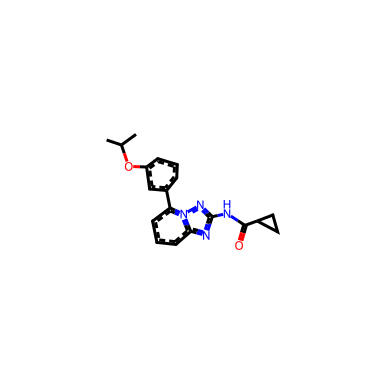 CC(C)Oc1cccc(-c2cccc3nc(NC(=O)C4CC4)nn23)c1